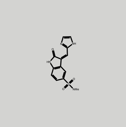 CNS(=O)(=O)c1ccc2c(c1)C(=Cc1ncc[nH]1)C(=O)N2